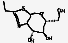 CCC1=NC2C(O[C@H](CO)[C@@H](O)[C@@H]2O)S1